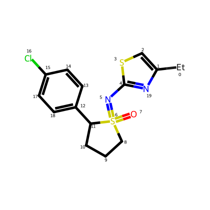 CCc1csc(N=S2(=O)CCCC2c2ccc(Cl)cc2)n1